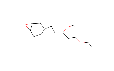 CCOCC[SiH](CCC1CCC2OC2C1)OC